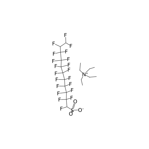 CC[N+](CC)(CC)CC.O=S(=O)([O-])C(F)C(F)(F)C(F)(F)C(F)(F)C(F)(F)C(F)(F)C(F)(F)C(F)(F)C(F)(F)C(F)C(F)F